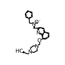 C#CCN1CCN(COc2cccc3ccc(/C=[N+](\[O-])Cc4ccccc4)nc23)CC1